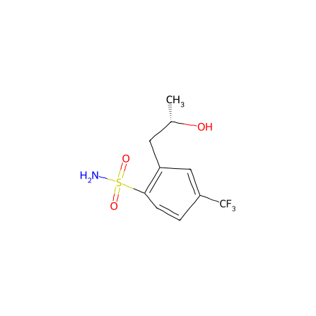 C[C@H](O)Cc1cc(C(F)(F)F)ccc1S(N)(=O)=O